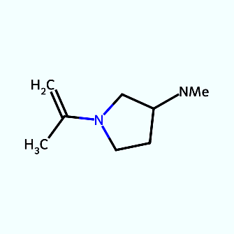 C=C(C)N1CCC(NC)C1